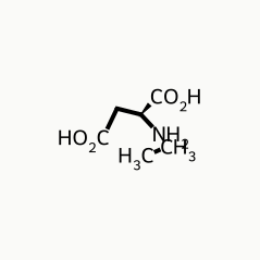 CC.N[C@@H](CC(=O)O)C(=O)O